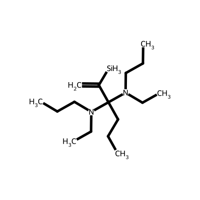 C=C([SiH3])C(CCC)(N(CC)CCC)N(CC)CCC